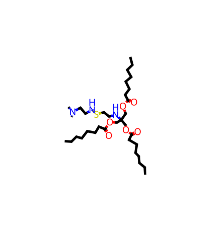 CCCCCCCC(=O)OCC(COC(=O)CCCCCCC)(COC(=O)CCCCCCC)NCCSNCCN(C)C